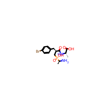 C[C@H](NC(=O)[C@H](Cc1ccc(Br)cc1)CP(=O)(O)[C@H](C)N)C(=O)O